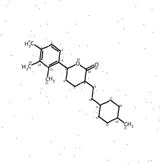 Cc1ccc(C2CCC(CCC3CCC(C)CC3)C(=O)O2)c(C)c1C